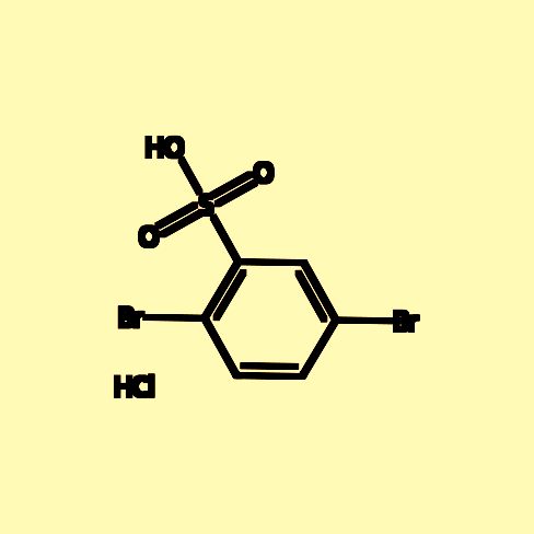 Cl.O=S(=O)(O)c1cc(Br)ccc1Br